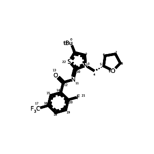 CC(C)(C)c1cn(C[C@@H]2CCCO2)/c(=N/C(=O)c2cc(C(F)(F)F)ccc2F)s1